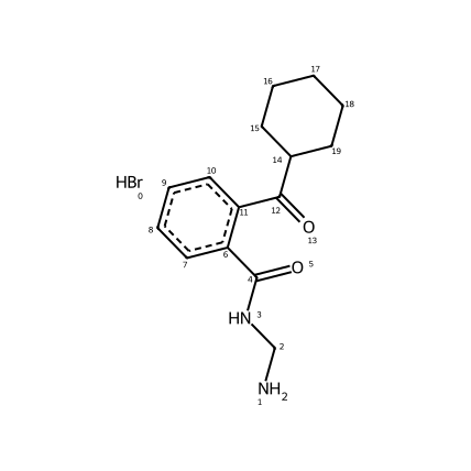 Br.NCNC(=O)c1ccccc1C(=O)C1CCCCC1